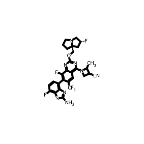 CC1C(C#N)CN1c1nc(OC[C@@]23CCCN2C[C@H](F)C3)nc2c(F)c(-c3ccc(F)c4sc(N)nc34)c(C(F)(F)F)cc12